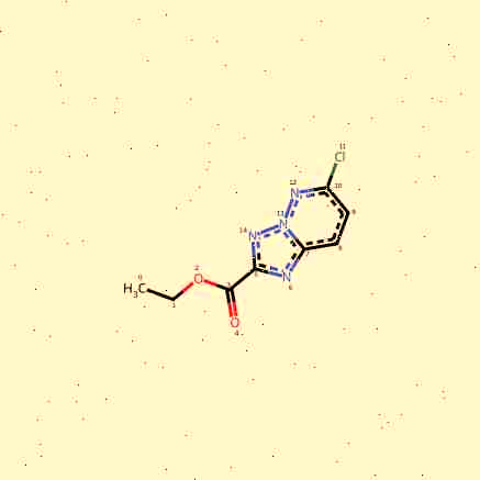 CCOC(=O)c1nc2ccc(Cl)nn2n1